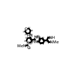 CN/C=C(\C=N)c1ccc(NC(=N)C2=C(NC3CCOCC3)CCN(C(=O)NC)C2)c(F)c1